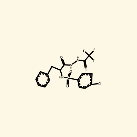 O=C(NNC(=O)C(F)(F)F)C(Cc1ccccc1)NS(=O)(=O)c1ccc(Cl)cc1